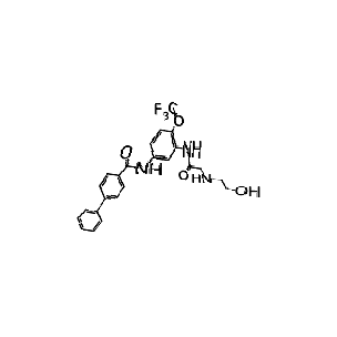 O=C(CNCCO)Nc1cc(NC(=O)c2ccc(-c3ccccc3)cc2)ccc1OC(F)(F)F